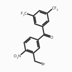 O=C(c1cc(C(F)(F)F)cc(C(F)(F)F)c1)c1ccc([N+](=O)[O-])c(CBr)c1